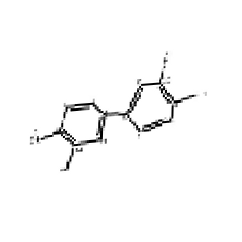 CCc1ccc(-c2ccc(F)c(F)c2)cc1C